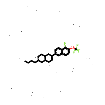 CCCCC1CCC2CC(c3ccc4c(F)c(OC(F)(F)F)ccc4c3)CCC2C1